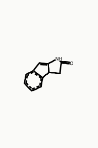 O=C1CC2C(=Cc3ccccc32)N1